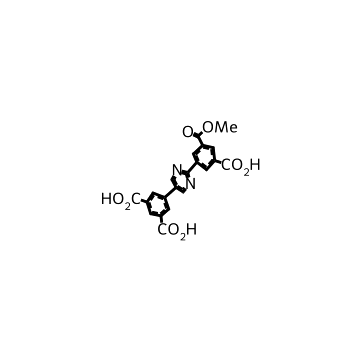 COC(=O)c1cc(C(=O)O)cc(-c2ncc(-c3cc(C(=O)O)cc(C(=O)O)c3)cn2)c1